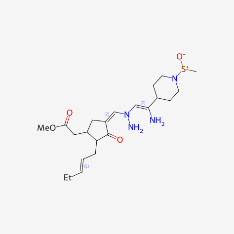 CC/C=C/CC1C(=O)/C(=C\N(N)/C=C(\N)C2CCN([S+](C)[O-])CC2)CC1CC(=O)OC